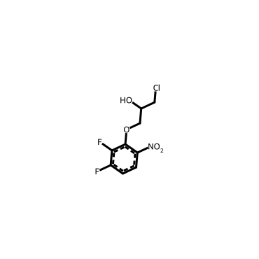 O=[N+]([O-])c1ccc(F)c(F)c1OCC(O)CCl